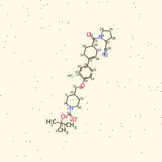 CC(C)(C)OC(=O)N1CCC(COc2ccc(C3=CCC(C(=O)N4CCCC4C#N)CC3)cc2F)CC1